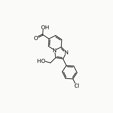 O=C(O)c1ccc2nc(-c3ccc(Cl)cc3)c(CO)n2c1